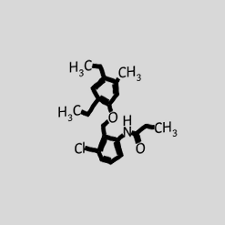 CCC(=O)Nc1cccc(Cl)c1COc1cc(C)c(CC)cc1CC